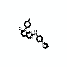 CC1CCC(n2c(=O)ccc3cnc(Nc4ccc(-n5cccn5)cc4)nc32)CC1